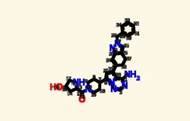 Nc1ncnn2c(C3CCN(C(=O)C4C[C@H](O)CN4)CC3)cc(C3=Cc4nn(Cc5ccccc5)cc4CC3)c12